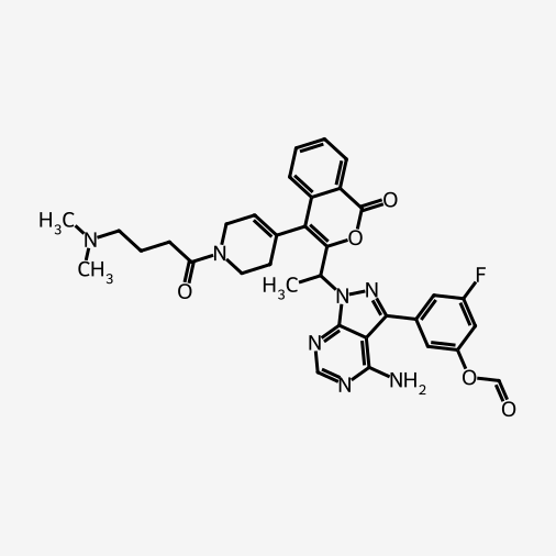 CC(c1oc(=O)c2ccccc2c1C1=CCN(C(=O)CCCN(C)C)CC1)n1nc(-c2cc(F)cc(OC=O)c2)c2c(N)ncnc21